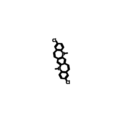 CB1c2ccc(Cl)cc2C=Cc2cc3c(cc21)C=Cc1cc(Cl)ccc1B3C